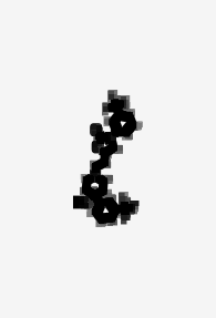 O=C1OC(CCN2CCC(O)(c3cccc(C(F)(F)F)c3)CC2)CN1c1cccc(C(F)(F)F)c1